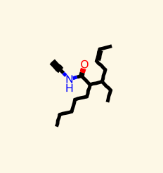 C#CNC(=O)C(CCCCC)C(CC)C/C=C\C